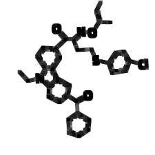 CC=C(C)O/N=C(\CCSc1ccc(Cl)cc1)C(=O)c1ccc2c(c1)c1cc(C(=O)c3ccccc3)ccc1n2CC